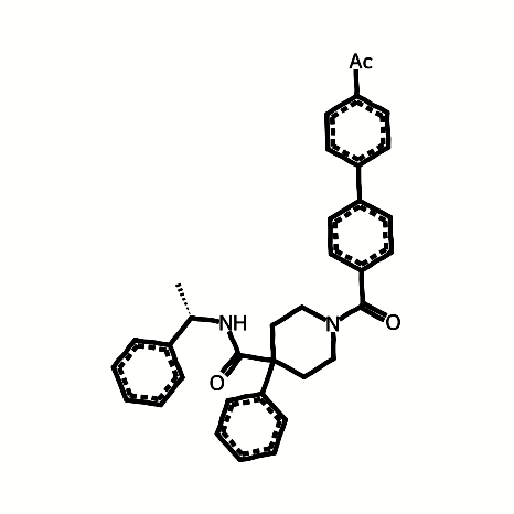 CC(=O)c1ccc(-c2ccc(C(=O)N3CCC(C(=O)N[C@@H](C)c4ccccc4)(c4ccccc4)CC3)cc2)cc1